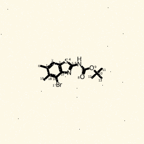 Cc1cc2sc(NC(=O)OC(C)(C)C)nc2c(Br)c1C